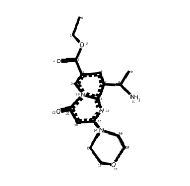 CCOC(=O)c1cc(C(C)N)c2nc(N3CCOCC3)cc(=O)n2c1